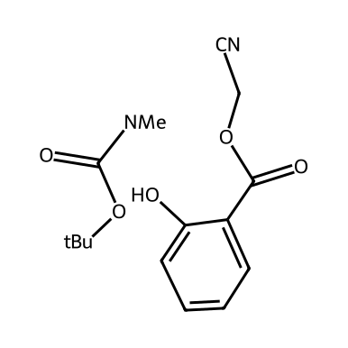 CNC(=O)OC(C)(C)C.N#CCOC(=O)c1ccccc1O